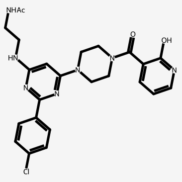 CC(=O)NCCNc1cc(N2CCN(C(=O)c3cccnc3O)CC2)nc(-c2ccc(Cl)cc2)n1